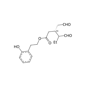 CCC(C=O)[C@@H](CC=O)CC(=O)OCCc1ccccc1O